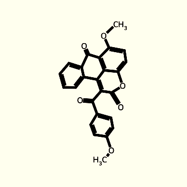 COc1ccc(C(=O)c2c3c4c(c(OC)ccc4oc2=O)C(=O)c2ccccc2-3)cc1